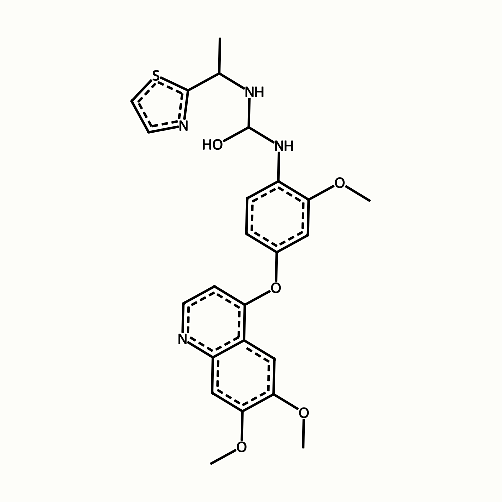 COc1cc(Oc2ccnc3cc(OC)c(OC)cc23)ccc1NC(O)NC(C)c1nccs1